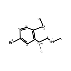 CNC[C@H](C)c1cc(Br)ccc1OC